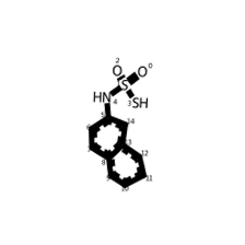 O=S(=O)(S)Nc1ccc2ccccc2c1